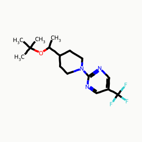 CC(OC(C)(C)C)C1CCN(c2ncc(C(F)(F)F)cn2)CC1